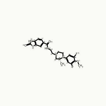 COc1c(F)cc(N2CCN(CCNC(=O)c3ccc4[nH]c(=O)oc4c3)C[C@H]2C)cc1F